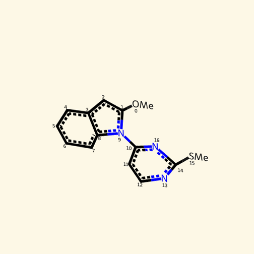 COc1cc2ccccc2n1-c1ccnc(SC)n1